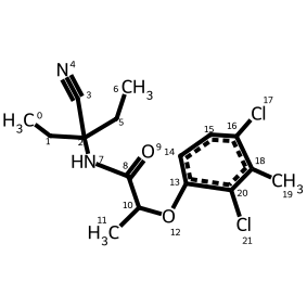 CCC(C#N)(CC)NC(=O)C(C)Oc1ccc(Cl)c(C)c1Cl